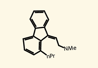 CCCc1cccc2c1/C(=C\CNC)c1ccccc1-2